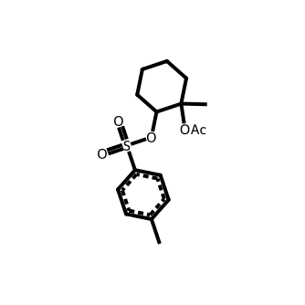 CC(=O)OC1(C)CCCCC1OS(=O)(=O)c1ccc(C)cc1